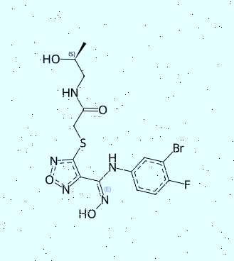 C[C@H](O)CNC(=O)CSc1nonc1/C(=N\O)Nc1ccc(F)c(Br)c1